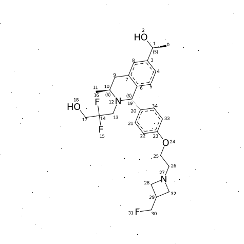 C[C@H](O)c1ccc2c(c1)C[C@H](C)N(CC(F)(F)CO)[C@H]2c1ccc(OCCN2CC(CF)C2)cc1